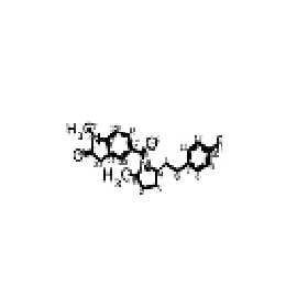 C[C@@H]1CC[C@H](CCc2ccc(F)cc2)N1C(=O)c1ccc2c(c1)CC(=O)N2C